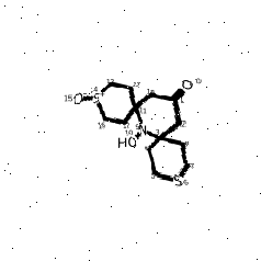 O=C1CC2(CCSCC2)N(O)C2(CC[S+]([O-])CC2)C1